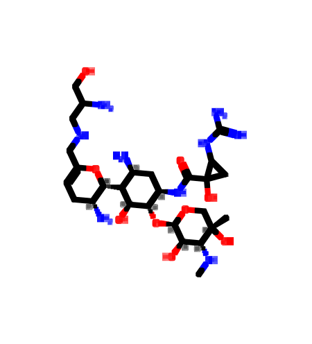 CN[C@@H]1[C@@H](O)[C@@H](O[C@H]2[C@H](NC(=O)C3(O)CC3NC(=N)N)C[C@H](N)C([C@H]3OC(CNCC(N)CO)=CC[C@H]3N)[C@@H]2O)OC[C@]1(C)O